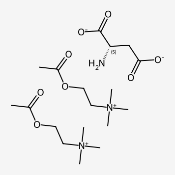 CC(=O)OCC[N+](C)(C)C.CC(=O)OCC[N+](C)(C)C.N[C@@H](CC(=O)[O-])C(=O)[O-]